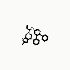 C=CC(=O)N1Cc2sc(C)cc2[C@@H](c2ccccc2-c2cccnc2-c2ccccc2)C1